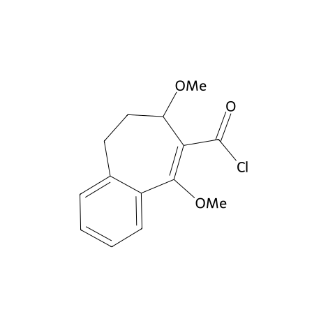 COC1=C(C(=O)Cl)C(OC)CCc2ccccc21